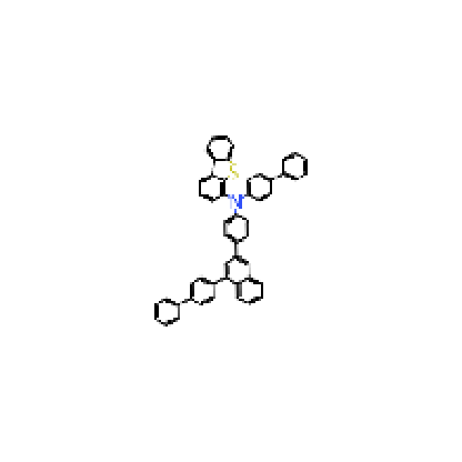 c1ccc(-c2ccc(-c3cc(-c4ccc(N(c5ccc(-c6ccccc6)cc5)c5cccc6c5sc5ccccc56)cc4)cc4ccccc34)cc2)cc1